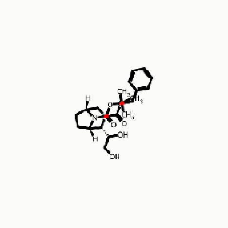 CC(C)(C)OC(=O)N1[C@@H]2CC[C@H]1[C@@H](C(O)CO)N(C(=O)OCc1ccccc1)C2